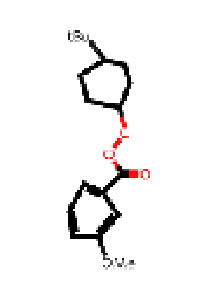 COc1cccc(C(=O)OO[C]2CCC(C(C)(C)C)CC2)c1